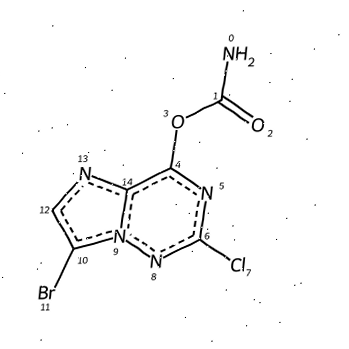 NC(=O)Oc1nc(Cl)nn2c(Br)cnc12